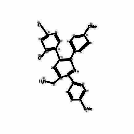 COc1ccc(-c2nc(-c3ccc(OC)cc3)c(-c3ccc(Cl)cc3Cl)cc2CN)cc1